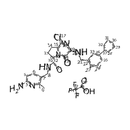 Cc1nc(N)ccc1CNC(=O)[C@@H]1CCc2c(Cl)nc(NCc3cccc(-c4ccccc4)c3)c(=O)n21.O=C(O)C(F)(F)F